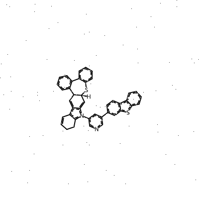 C1=Cc2c(n(-c3cncc(-c4ccc5c(c4)sc4ccccc45)c3)c3c2=CC2c4ccccc4-c4ccccc4S[C@@H]2C=3)CC1